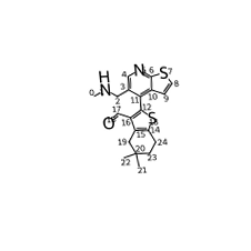 CNCc1cnc2sccc2c1-c1sc2c(c1C=O)CC(C)(C)CC2